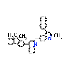 Cc1cc(-c2ccc3ccccc3c2)c2cc(Cc3cc(-c4ccc5c(c4)C(C)(C)c4ccccc4-5)c4ccccc4n3)ccc2n1